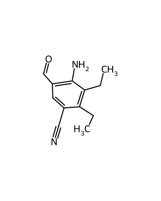 CCc1c(C#N)cc(C=O)c(N)c1CC